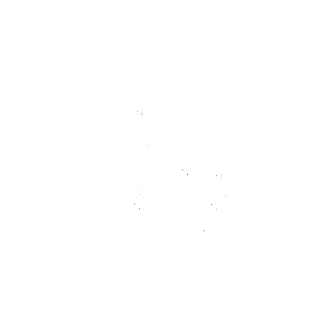 C[C@H](c1ccc(C#N)c(-c2ccc3c(n2)n(C)c(=O)n3CC(C)(C)C)c1)N1CCS(O)(O)CC1